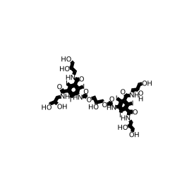 O=C(Nc1c(I)c(C(=O)NCC(O)CO)c(I)c(C(=O)NCC(O)CO)c1I)OCC(O)COC(=O)Nc1c(I)c(C(=O)NCC(O)CO)c(I)c(C(=O)NCC(O)CO)c1I